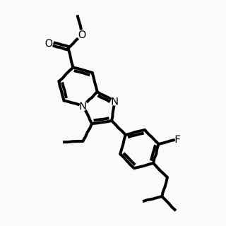 CCc1c(-c2ccc(CC(C)C)c(F)c2)nc2cc(C(=O)OC)ccn12